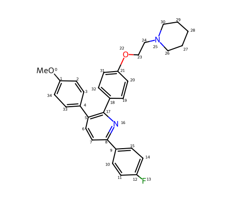 COc1ccc(-c2ccc(-c3ccc(F)cc3)nc2-c2ccc(OCCN3CCCCC3)cc2)cc1